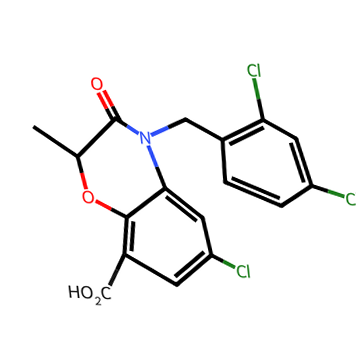 CC1Oc2c(C(=O)O)cc(Cl)cc2N(Cc2ccc(Cl)cc2Cl)C1=O